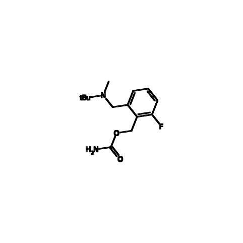 CN(Cc1cccc(F)c1COC(N)=O)C(C)(C)C